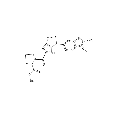 Cn1nc2cc(N3COc4cc(C(=O)N5CCCC5C(=O)OC(C)(C)C)[nH]c43)ccn2c1=O